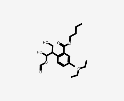 CCCCOC(=O)c1cc(C)ccc1C(CO)C(O)OC=O.CCOCC